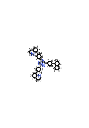 c1ccc2c(-c3ccc(-c4nc(-c5ccc(-c6cccc7cccnc67)cc5)nc(-c5ccc(-c6cccc7cccnc67)cc5)n4)cc3)cccc2c1